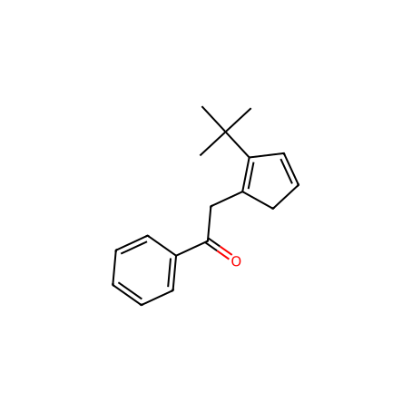 CC(C)(C)C1=C(CC(=O)c2ccccc2)CC=C1